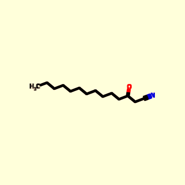 CCCCCCCCCCCC(=O)CC#N